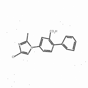 Cc1nc(Cl)cn1-c1ccc(-c2ccccc2)c(C(=O)O)c1